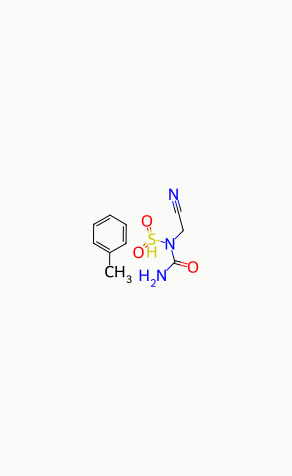 Cc1ccccc1.N#CCN(C(N)=O)[SH](=O)=O